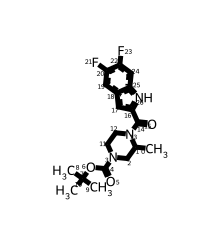 CC1CN(C(=O)OC(C)(C)C)CCN1C(=O)c1cc2cc(F)c(F)cc2[nH]1